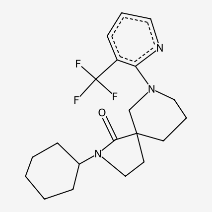 O=C1N(C2CCCCC2)CCC12CCCN(c1ncccc1C(F)(F)F)C2